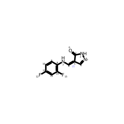 O=C1NN=C/C1=C/Nc1ccc(F)cc1F